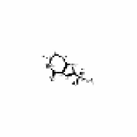 C[C@@H]1CSc2sc(S(N)(=O)=O)cc2C(=O)N1